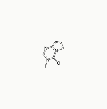 O=c1n(I)cnc2cccn12